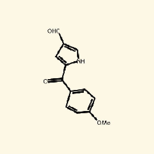 COc1ccc(C(=O)c2cc(C=O)c[nH]2)cc1